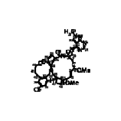 CO[C@H]1/C=C/[C@H](OC)CCS(=O)(/C=N/c2ncnc3nn(C)cc23)=NC(=O)c2ccc3c(c2)N(Cc2ccc(Cl)cc2CCCCO3)C[C@@H]2CC[C@H]21